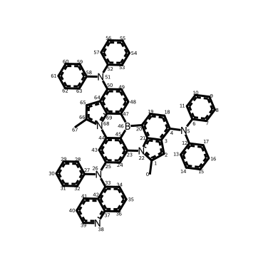 Cc1cc2c(N(c3ccccc3)c3ccccc3)ccc3c2n1-c1cc(N(c2ccccc2)c2cccc4ncccc24)cc2c1B3c1ccc(N(c3ccccc3)c3ccccc3)c3cc(C)n-2c13